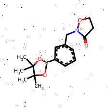 CC1(C)OB(c2cccc(CN3OCCC3=O)c2)OC1(C)C